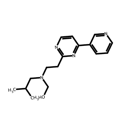 CC(C)CN(CO)CCc1nccc(-c2cccnc2)n1